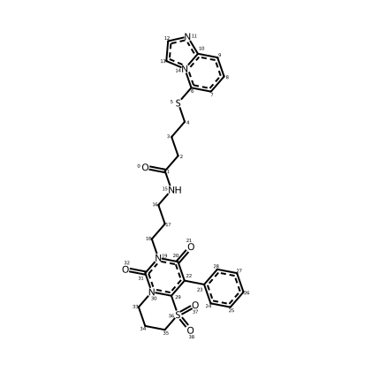 O=C(CCCSc1cccc2nccn12)NCCCn1c(=O)c(-c2ccccc2)c2n(c1=O)CCCS2(=O)=O